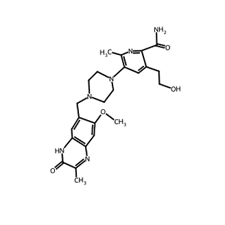 COc1cc2nc(C)c(=O)[nH]c2cc1CN1CCN(c2cc(CCO)c(C(N)=O)nc2C)CC1